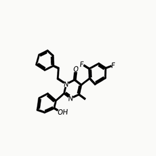 Cc1nc(-c2ccccc2O)n(CCc2ccccc2)c(=O)c1-c1ccc(F)cc1F